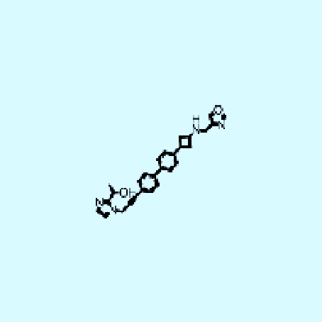 CC(O)c1nccn1CC#Cc1ccc(-c2ccc(C3CC(NCc4cocn4)C3)cc2)cc1